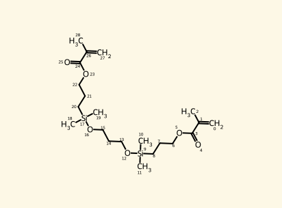 C=C(C)C(=O)OCCC[Si](C)(C)OCCCO[Si](C)(C)CCCOC(=O)C(=C)C